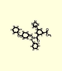 COC(=O)c1cc(C(=O)N(Cc2ccccc2)Cc2ccc(Oc3ccccc3)cc2)cc(-n2cnnn2)c1